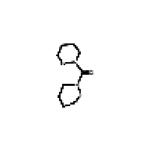 O=C(N1CCCCN1)N1CCCCN1